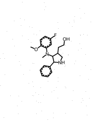 COc1ccc(F)cc1N(C)C1C(CCO)CNC1c1ccccc1